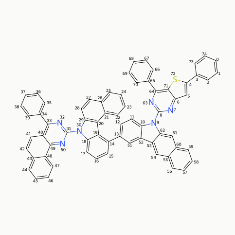 c1ccc(-c2cc3nc(-n4c5ccc(-c6cccc7c6c6c8ccccc8ccc6n7-c6nc(-c7ccccc7)c7ccc8ccccc8c7n6)cc5c5cc6ccccc6cc54)nc(-c4ccccc4)c3s2)cc1